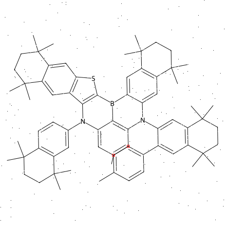 Cc1ccc(-c2cc3c(cc2N2c4cc5c(cc4B4c6sc7cc8c(cc7c6N(c6ccc7c(c6)C(C)(C)CCC7(C)C)c6cc(C)cc2c64)C(C)(C)CCC8(C)C)C(C)(C)CCC5(C)C)C(C)(C)CCC3(C)C)cc1